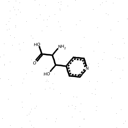 NC(C(=O)O)C(O)c1ccncc1